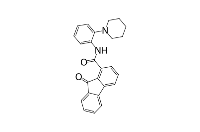 O=C(Nc1ccccc1N1CCCCC1)c1cccc2c1C(=O)c1ccccc1-2